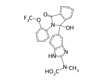 CN(C(=O)O)c1nc2cc(C3(O)c4ccccc4C(=O)N3c3ccccc3OC(F)(F)F)ccc2[nH]1